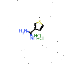 Cl.Cl.N=C(N)c1ccsc1